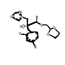 C[C@@H](SCC1OCCO1)[C@](O)(Cn1cncn1)c1ccc(F)cc1F